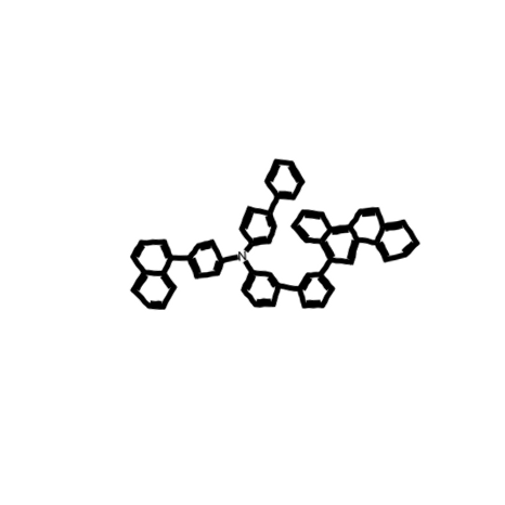 c1ccc(-c2ccc(N(c3ccc(-c4cccc5ccccc45)cc3)c3cccc(-c4cccc(-c5cc6c7ccccc7ccc6c6ccccc56)c4)c3)cc2)cc1